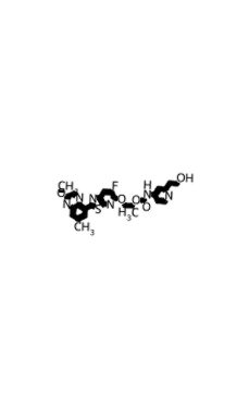 COc1cnc2c(-c3nc4cc(F)c(OC[C@@H](C)OC(=O)Nc5ccnc(CCO)c5)nc4s3)cc(C)cc2n1